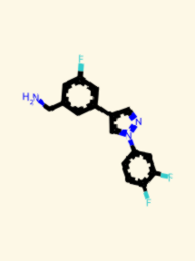 NCc1cc(F)cc(-c2cnn(-c3ccc(F)c(F)c3)c2)c1